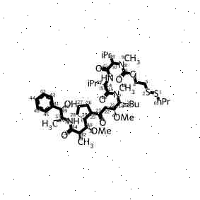 CCCSSCCOC(=O)N(C)C(C(=O)N[C@H](C(=O)N(C)C([C@@H](C)CC)[C@@H](CC(=O)C1CCC[C@H]1[C@H](OC)[C@@H](C)C(=O)N[C@H](C)[C@@H](O)c1ccccc1)OC)C(C)C)C(C)C